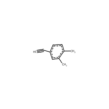 C#Cc1ccc(C)c(C)c1